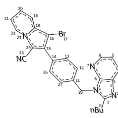 CCCCc1nc2cccnc2n1Cc1ccc(-c2c(Br)c3ccccn3c2C#N)cc1